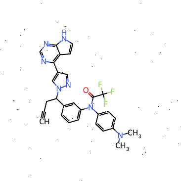 C#CCC(c1cccc(N(C(=O)C(F)(F)F)c2ccc(N(C)C)cc2)c1)n1cc(-c2ncnc3[nH]ccc23)cn1